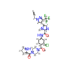 C#CCn1cc(-c2cnc(C(=O)Nc3ccc(C(=O)N4CCN(C(=O)[C@H]5CCCN5)CC4)c(Cl)c3)n2C)c(C(F)(F)F)n1